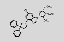 CC(=O)OC[C@H]1O[C@@H](n2cnc3c(N4CCC(c5ccccc5)(c5ccccc5)C4)nc(Cl)nc32)[C@H](OC(C)=O)[C@@H]1OC(C)=O